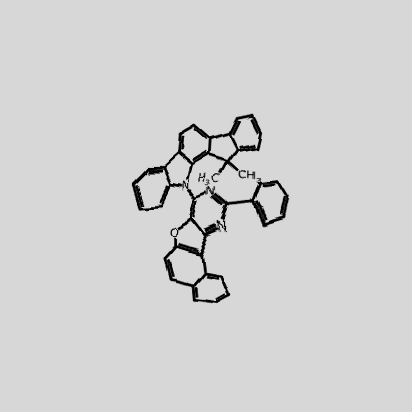 CC1(C)c2ccccc2-c2ccc3c4ccccc4n(-c4nc(-c5ccccc5)nc5c4oc4ccc6ccccc6c45)c3c21